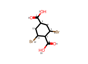 O=C(O)C1CC(Br)C(C(=O)O)C(Br)C1